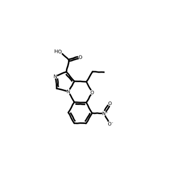 CCC1Oc2c(cccc2[N+](=O)[O-])-n2cnc(C(=O)O)c21